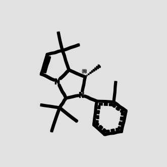 Cc1ccccc1N1C(C(C)(C)C)N2C=CC(C)(C)C2[C@@H]1C